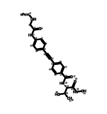 CCCCCNCC(=O)Nc1ccc(C#Cc2ccc(C(=O)N[C@H](C(=O)NO)[C@@H](C)O)cc2)cc1